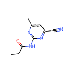 CCC(=O)Nc1nc(C)cc(C#N)n1